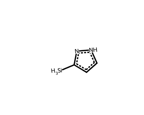 [SiH3]c1cc[nH]n1